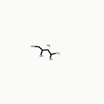 [CH2]C(S)CC(O)CO.[Hg]